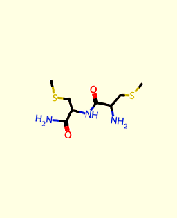 CSCC(N)C(=O)NC(CSC)C(N)=O